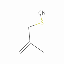 C=C(C)CSC#N